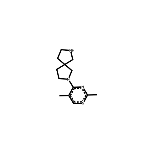 Cc1ncc(C)c(N2CCC3(CCNC3)C2)n1